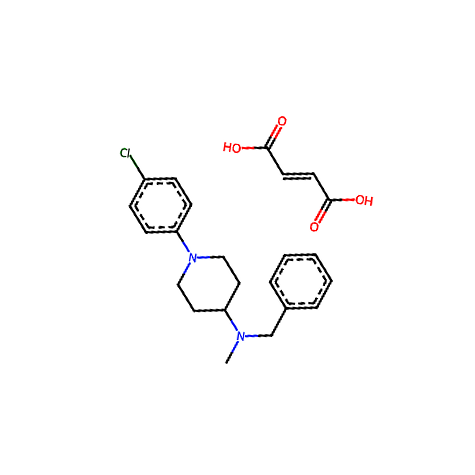 CN(Cc1ccccc1)C1CCN(c2ccc(Cl)cc2)CC1.O=C(O)C=CC(=O)O